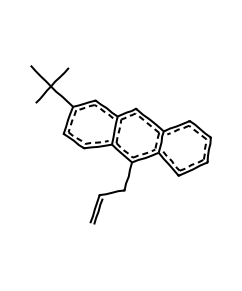 C=CCc1c2ccccc2cc2cc(C(C)(C)C)ccc12